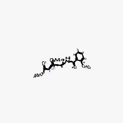 COC(=O)/C=C(/CNC(=O)c1ccccc1C=O)OC